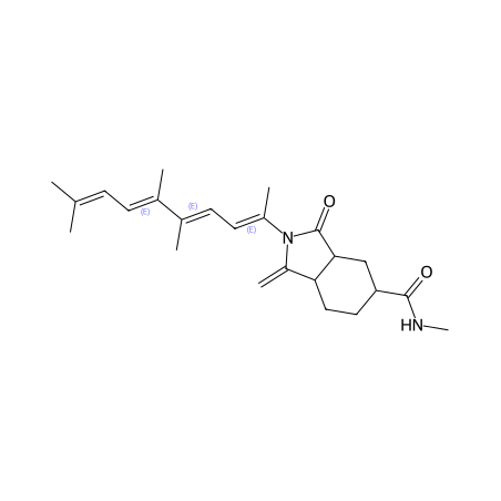 C=C1C2CCC(C(=O)NC)CC2C(=O)N1/C(C)=C/C=C(C)/C(C)=C/C=C(C)C